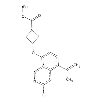 C=C(C)c1ccc(OC2CN(C(=O)OC(C)(C)C)C2)c2cnc(Cl)cc12